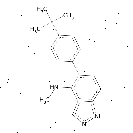 CNc1c(-c2ccc(C(C)(C)C)cc2)ccc2[nH]ncc12